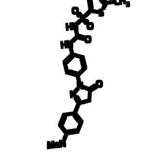 CNc1ccc(C2=NN(c3ccc(NC(=O)NS(=O)(=O)c4ccc(C)s4)cc3)C(=O)C2)cc1